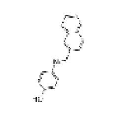 Oc1ccc(N=Cc2ccc3ccccc3c2)cc1